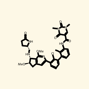 COc1nc(-c2cccc(-c3cccc(NC(=O)c4cn(C)c(=O)n(C)c4=O)c3C)c2Cl)cc2c1[C@@H](NC[C@@H]1CCC(=O)N1)[C@H](OC)C2